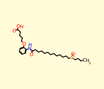 CCCC[S+]([O-])CCCCCCCCCCCCC(=O)Nc1ccccc1OCCCCC(=O)O